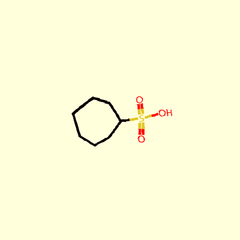 O=S(=O)(O)C1CCCCCC1